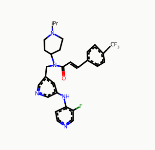 CC(C)N1CCC(N(Cc2cncc(Nc3ccncc3F)c2)C(=O)/C=C/c2ccc(C(F)(F)F)cc2)CC1